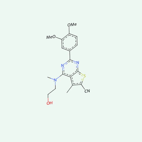 COc1ccc(-c2nc(N(C)CCO)c3c(C)c(C#N)sc3n2)cc1OC